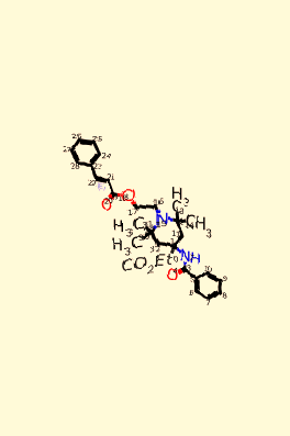 CCOC(=O)C1(NC(=O)c2ccccc2)CC(C)(C)N(CCOC(=O)/C=C/c2ccccc2)C(C)(C)C1